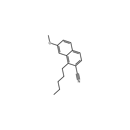 CCCCCc1c(C#N)ccc2ccc(OC)cc12